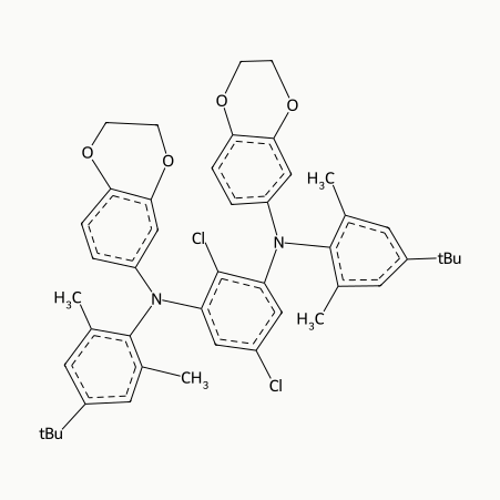 Cc1cc(C(C)(C)C)cc(C)c1N(c1ccc2c(c1)OCCO2)c1cc(Cl)cc(N(c2ccc3c(c2)OCCO3)c2c(C)cc(C(C)(C)C)cc2C)c1Cl